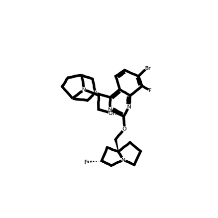 OCCN1C2CCC1CN(c1nc(OC[C@@]34CCCN3C[C@H](F)C4)nc3c(F)c(Br)ccc13)C2